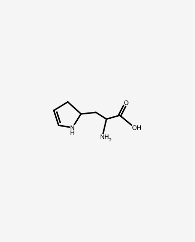 NC(CC1CC=CN1)C(=O)O